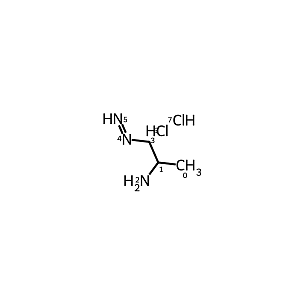 CC(N)CN=N.Cl.Cl